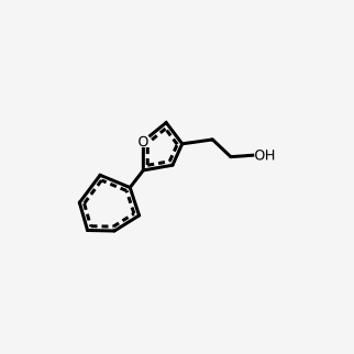 OCCc1coc(-c2ccccc2)c1